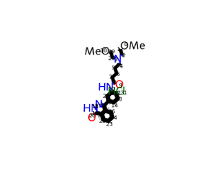 COCCN(CCCCC(=O)Nc1cccc(-c2n[nH]c(=O)c3ccccc23)c1)CCOC.Cl